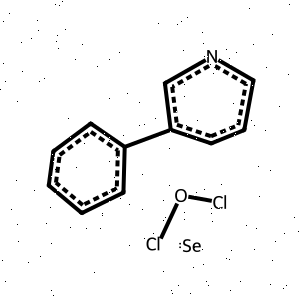 ClOCl.[Se].c1ccc(-c2cccnc2)cc1